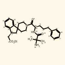 CCOC(=O)C[C@@H]1CC2(CCN(C(=O)[C@@H](CCCc3ccccc3)NC(=O)C(C)(C)N)CC2)c2ccccc21